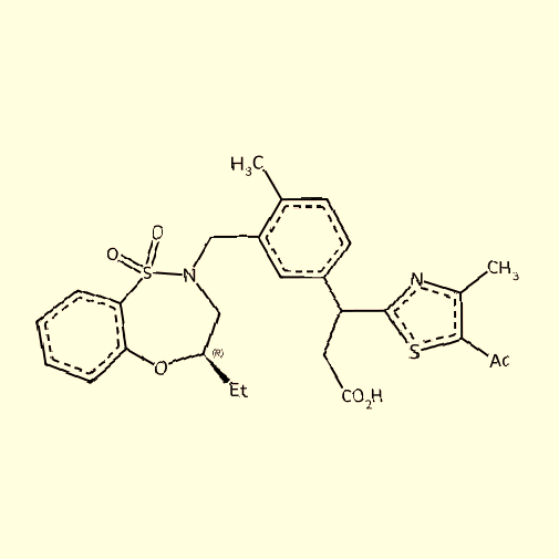 CC[C@@H]1CN(Cc2cc(C(CC(=O)O)c3nc(C)c(C(C)=O)s3)ccc2C)S(=O)(=O)c2ccccc2O1